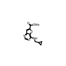 COC(=O)c1cc2ncnc(NCC3CC3)c2s1